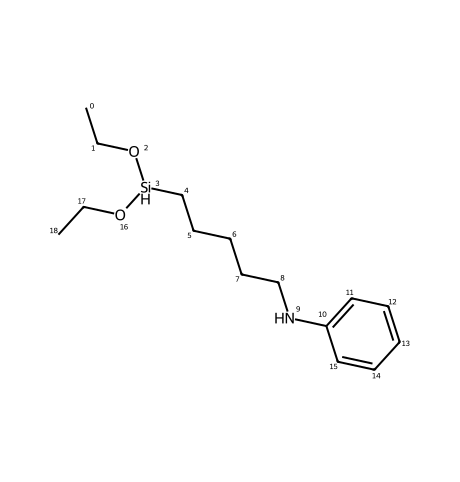 CCO[SiH](CCCCCNc1ccccc1)OCC